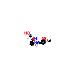 C#CCOc1ccc(/C=C/C(=O)Nc2ccccc2C(=O)NC/C=N/O)cc1OC